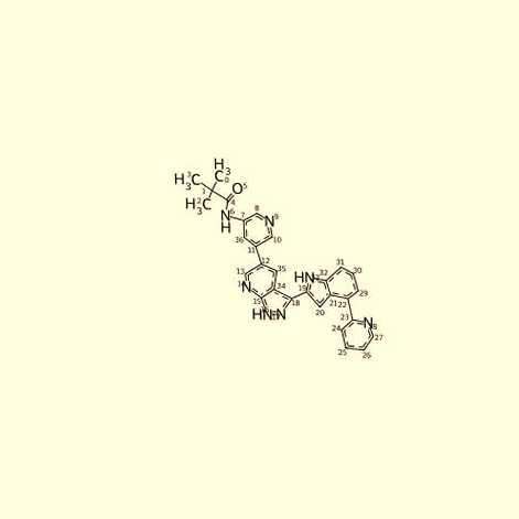 CC(C)(C)C(=O)Nc1cncc(-c2cnc3[nH]nc(-c4cc5c(-c6ccccn6)cccc5[nH]4)c3c2)c1